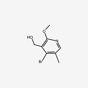 COc1ncc(C)c(Br)c1CO